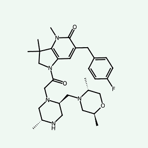 C[C@@H]1CN(CC(=O)N2CC(C)(C)c3c2cc(Cc2ccc(F)cc2)c(=O)n3C)[C@@H](CN2C[C@H](C)OC[C@H]2C)CN1